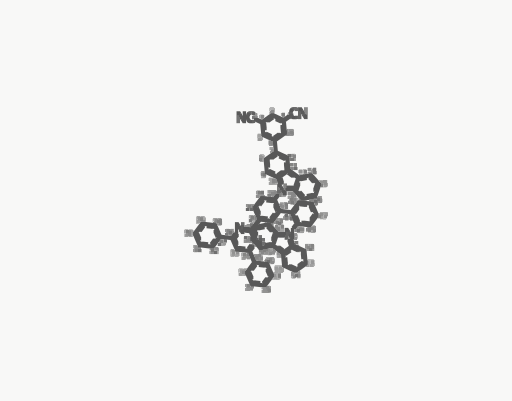 N#Cc1cc(C#N)cc(-c2ccc3c(c2)c2ccccc2n3-c2ccc(-c3nc(-c4ccccc4)cc(-c4ccccc4)n3)cc2-c2ccccc2-n2c3ccccc3c3ccccc32)c1